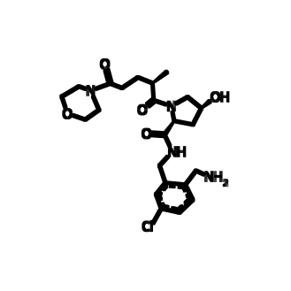 C[C@H](CCC(=O)N1CCOCC1)C(=O)N1C[C@@H](O)C[C@H]1C(=O)NCc1cc(Cl)ccc1CN